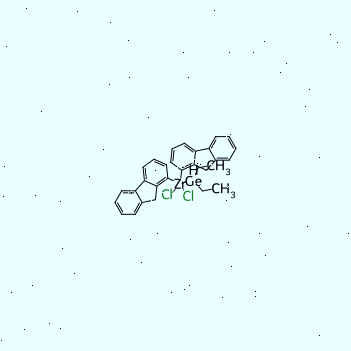 C[CH2][GeH]([CH2]C)[Zr]([Cl])([Cl])([c]1cccc2c1Cc1ccccc1-2)[c]1cccc2c1Cc1ccccc1-2